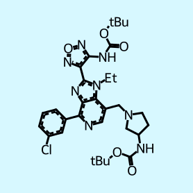 CCn1c(-c2nonc2NC(=O)OC(C)(C)C)nc2c(-c3cccc(Cl)c3)ncc(CN3CCC(NC(=O)OC(C)(C)C)C3)c21